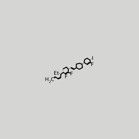 C=C/C=C\[C@H](CC)[C@@H]1CC[C@H](/C=C/C2CCC([C@H]3C=C(F)[C@@H](I)CC3)CC2)C(F)=C1F